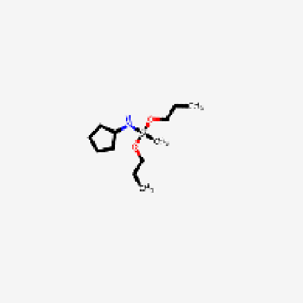 CCCO[Si](C)(NC1CCCC1)OCCC